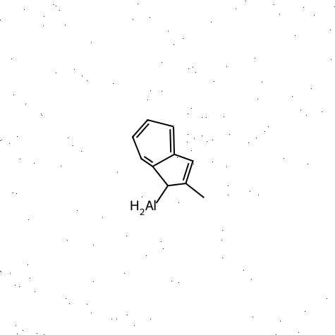 CC1=Cc2ccccc2[CH]1[AlH2]